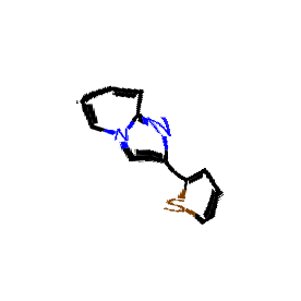 [c]1ccc2nc(-c3cccs3)cn2c1